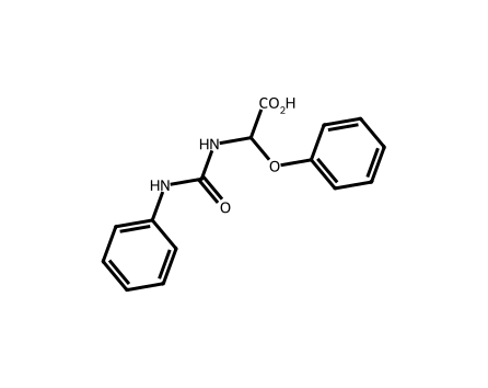 O=C(Nc1ccccc1)NC(Oc1ccccc1)C(=O)O